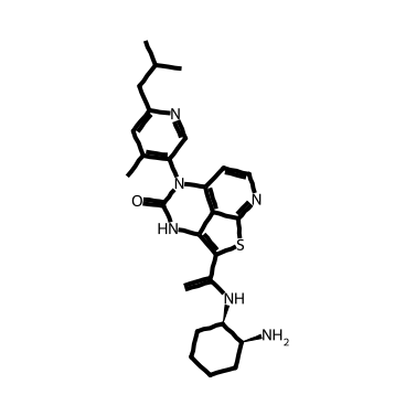 C=C(N[C@@H]1CCCC[C@@H]1N)c1sc2nccc3c2c1NC(=O)N3c1cnc(CC(C)C)cc1C